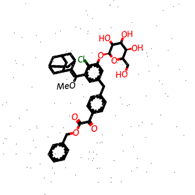 COC(=C1C2CC3CC(C2)CC1C3)c1cc(Cc2ccc(C(=O)C(=O)OCc3ccccc3)cc2)cc(O[C@@H]2OC(CO)[C@H](O)C(O)C2O)c1Cl